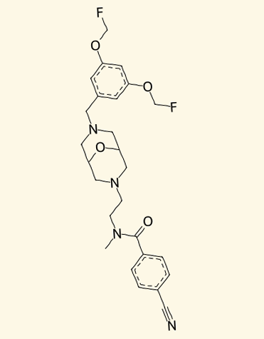 CN(CCN1CC2CN(Cc3cc(OCF)cc(OCF)c3)CC(C1)O2)C(=O)c1ccc(C#N)cc1